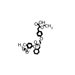 CCOC(Cc1ccc(OCCN(CC2CCCCC2)C(=O)Oc2ccc(C)c([N+](=O)[O-])c2)cc1)C(=O)O